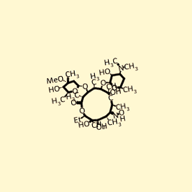 CC[C@H]1OC(=O)[C@H](C)[C@@H](O[C@H]2C[C@@](C)(OC)[C@@H](O)[C@H](C)O2)[C@H](C)[C@@H](O[C@@H]2O[C@H](C)C[C@H](N(C)C)[C@H]2O)[C@@](C)(O)C[C@@H](C)/C(=N\O)[C@H](C)[C@@H](O)[C@]1(C)O